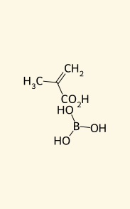 C=C(C)C(=O)O.OB(O)O